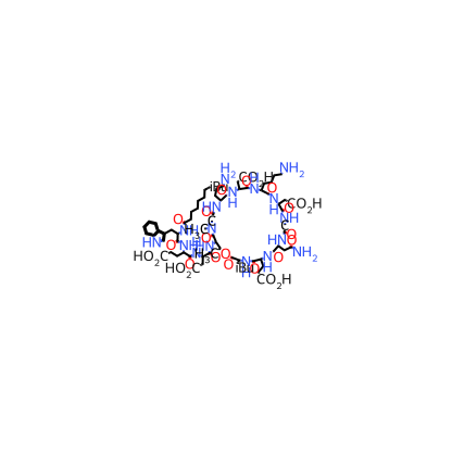 CCC(C)CCCCCCC(=O)NC(Cc1c[nH]c2ccccc12)C(=O)NC(CCC(=O)O)C(=O)NC(CC(=O)O)C(=O)NC1C(=O)N(C)CC(=O)NC(CCCN)C(=O)NC(CC(=O)O)C(=O)NC(CCCCN)C(=O)NC(CC(=O)O)C(=O)NCC(=O)NC(CC(N)=O)C(=O)NC(CCC(=O)O)C(=O)NC(C(C)CC)C(=O)OC1C